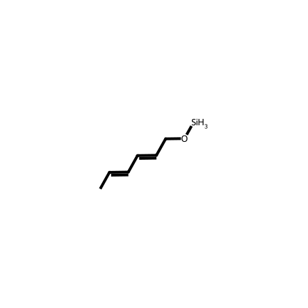 C/C=C/C=C/CO[SiH3]